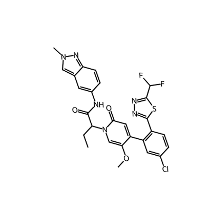 CCC(C(=O)Nc1ccc2nn(C)cc2c1)n1cc(OC)c(-c2cc(Cl)ccc2-c2nnc(C(F)F)s2)cc1=O